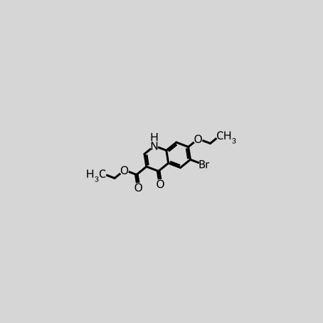 CCOC(=O)c1c[nH]c2cc(OCC)c(Br)cc2c1=O